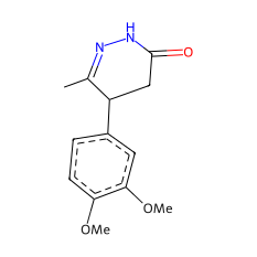 COc1ccc(C2CC(=O)NN=C2C)cc1OC